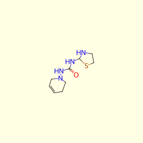 O=C(NC1NCCS1)NN1CC=CCC1